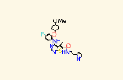 COC1CCC(Oc2cc(F)ccc2Nc2ncnc3sc(C(=O)NCCC4CCCN4C)c(C)c23)CC1